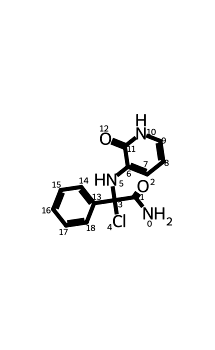 NC(=O)C(Cl)(Nc1ccc[nH]c1=O)c1ccccc1